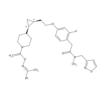 C=C(O/N=C(\C)C(C)C)N1CCC([C@H]2C[C@H]2CCOc2ccc(CC(=O)N(C)Cc3ccon3)c(F)c2)CC1